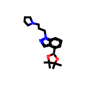 CC1(C)OB(c2cccc3c2cnn3CCCN2CCCC2)OC1(C)C